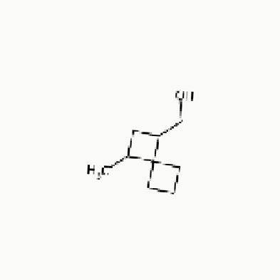 CC1CC(CO)C12CCC2